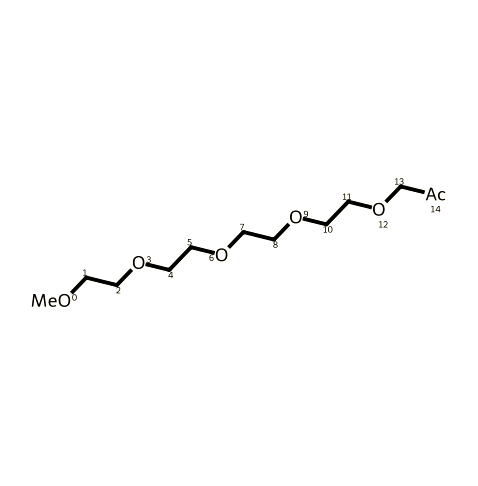 COCCOCCOCCOCCOCC(C)=O